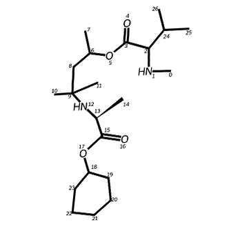 CNC(C(=O)OC(C)CC(C)(C)N[C@@H](C)C(=O)OC1CCCCC1)C(C)C